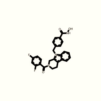 O=C(NO)c1ccc(Cn2c3c(c4ccccc42)CCN(C(=O)c2ccc(F)cc2F)C3)cc1